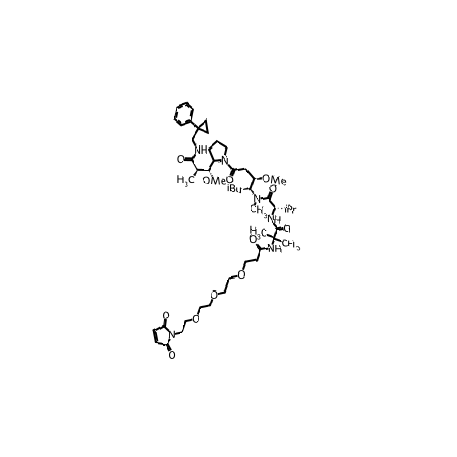 CC[C@H](C)[C@@H]([C@@H](CC(=O)N1CCCC1[C@H](OC)[C@@H](C)C(=O)NCC1(c2ccccc2)CC1)OC)N(C)C(=O)[C@@H](NC(=O)C(C)(C)NC(=O)CCOCCOCCOCCN1C(=O)C=CC1=O)C(C)C